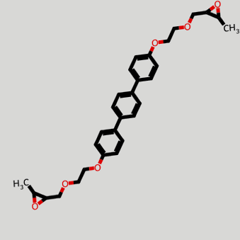 CC1OC1COCCOc1ccc(-c2ccc(-c3ccc(OCCOCC4OC4C)cc3)cc2)cc1